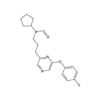 O=CN(CCCc1cncc(Oc2ccc(F)cc2)n1)C1CCCC1